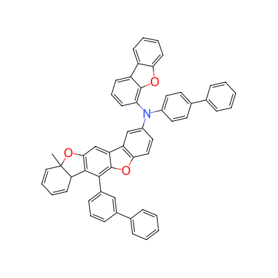 CC12C=CC=CC1c1c(cc3c(oc4ccc(N(c5ccc(-c6ccccc6)cc5)c5cccc6c5oc5ccccc56)cc43)c1-c1cccc(-c3ccccc3)c1)O2